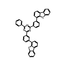 c1ccc(-c2nc(-c3cccc(-c4cccc5c4sc4ccccc45)c3)nc(-c3cccc(-c4cccc5c4sc4ccccc45)c3)n2)cc1